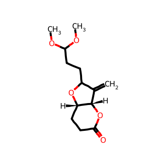 C=C1C(CCC(OC)OC)O[C@H]2CCC(=O)O[C@@H]12